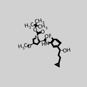 CO[C@@H]1C[C@H](C(=O)Nc2cc([C@H](O)CCC3CC3)ccc2F)N(C(=O)OC(C)(C)C)C1